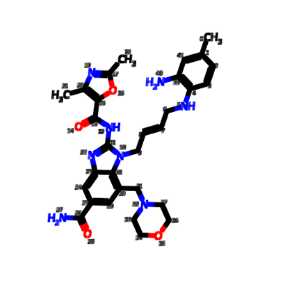 Cc1ccc(NC/C=C/Cn2c(NC(=O)c3oc(C)nc3C)nc3cc(C(N)=O)cc(CN4CCOCC4)c32)c(N)c1